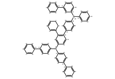 C1=CCCC(c2cc(N(c3ccc(-c4ccccc4)cc3)c3ccc(-c4ccccc4)cc3)ccc2-c2ccc(N(c3ccccc3)c3cccc(-c4ccccc4)c3)cc2)=C1